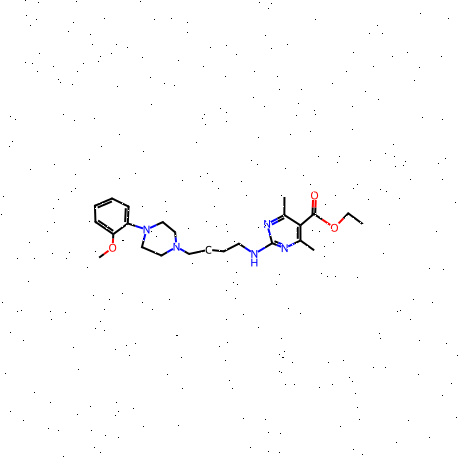 CCOC(=O)c1c(C)nc(NCCCCN2CCN(c3ccccc3OC)CC2)nc1C